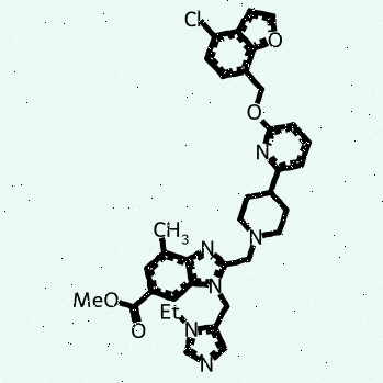 CCn1cncc1Cn1c(CN2CCC(c3cccc(OCc4ccc(Cl)c5ccoc45)n3)CC2)nc2c(C)cc(C(=O)OC)cc21